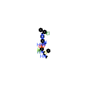 CC(C)NCC[C@H](CSc1ccccc1)Nc1ccc(S(=O)(=O)Nc2ncnc3cc(N4CCN(Cc5cc(Cl)ccc5-c5ccccc5)CC4)ccc23)cc1C(F)(F)F